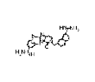 N=C(N)c1cccc(Cn2c(C3CC3)nc3ccn(Cc4ccc5ccc(C(=N)N)cc5c4)c(=O)c32)c1